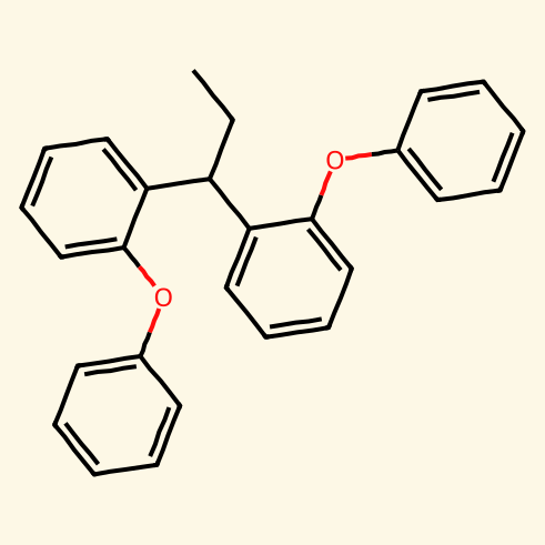 CCC(c1ccccc1Oc1ccccc1)c1ccccc1Oc1ccccc1